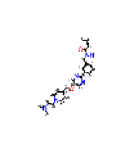 C/C=C\C(=O)NCc1cccc(-c2ncc(OCC3CCN(CCN(C)C)CC3)cn2)c1